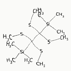 CSC(SC)(C(SC)(SC)[Si](C)(C)C)[Si](C)(C)C